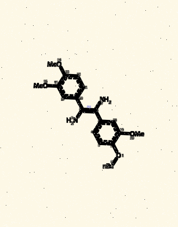 CCCCOc1ccc(/C(N)=C(\N)c2ccc(OC)c(OC)c2)cc1OC